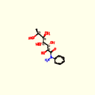 C[C@H](O)[C@@H](O)[C@@H](O)[C@H](O)[C@H](O)C(=O)N(N)c1ccccc1